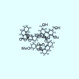 COc1cc(-c2cc(OC)cc(C(C)(C)C)c2OP2Oc3cccc4cc5cccc(Op6oc7c(C(C)(C)C)cc(CO)cc7c7cc(CO)cc(C(C)(C)C)c7o6)c5c(c34)O2)c(OP2OC(=O)c3ccc4ccccc4c3O2)c(C(C)(C)C)c1